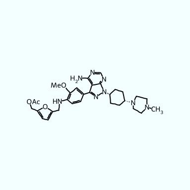 COc1cc(-c2nn([C@H]3CC[C@@H](N4CCN(C)CC4)CC3)c3ncnc(N)c23)ccc1NCc1ccc(COC(C)=O)o1